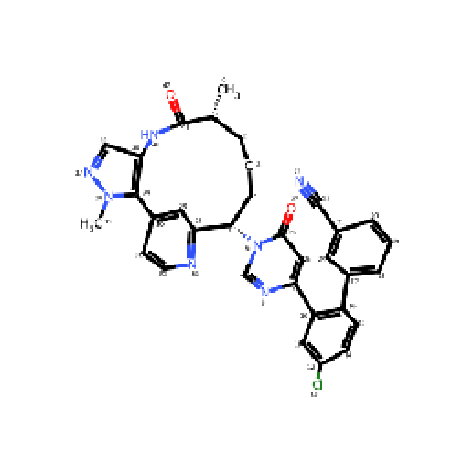 C[C@@H]1CCC[C@H](n2cnc(-c3cc(Cl)ccc3-c3cccc(C#N)c3)cc2=O)c2cc(ccn2)-c2c(cnn2C)NC1=O